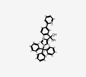 CC(C)C(O)(c1cccc(-c2ccccn2)c1)c1cn(C(c2ccccc2)(c2ccccc2)c2ccccc2)cn1